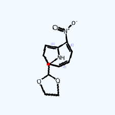 O=[N+]([O-])C1=C/C=C\CC\C=C\1NCC1OCCO1